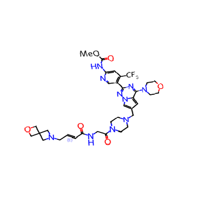 COC(=O)Nc1cc(C(F)(F)F)c(-c2nc(N3CCOCC3)c3cc(CN4CCN(C(=O)CNC(=O)/C=C/CN5CC6(COC6)C5)CC4)cn3n2)cn1